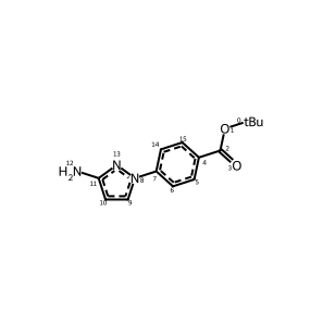 CC(C)(C)OC(=O)c1ccc(-n2ccc(N)n2)cc1